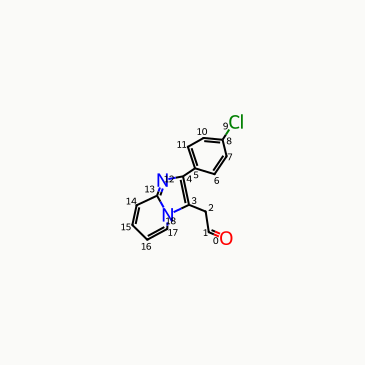 O=CCc1c(-c2ccc(Cl)cc2)nc2ccccn12